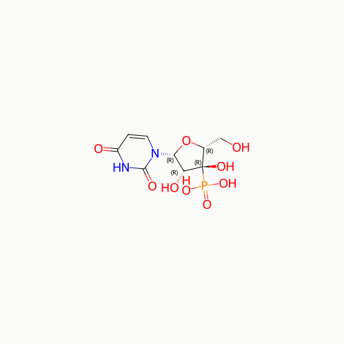 O=c1ccn([C@@H]2O[C@H](CO)[C@](O)(P(=O)(O)O)[C@@H]2O)c(=O)[nH]1